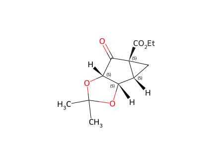 CCOC(=O)[C@@]12C[C@@H]1[C@@H]1OC(C)(C)O[C@@H]1C2=O